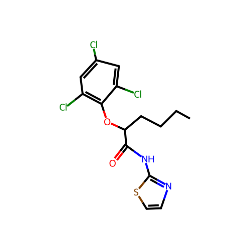 CCCCC(Oc1c(Cl)cc(Cl)cc1Cl)C(=O)Nc1nccs1